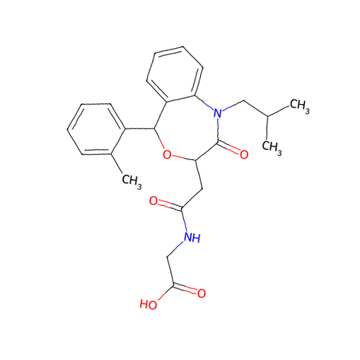 Cc1ccccc1C1OC(CC(=O)NCC(=O)O)C(=O)N(CC(C)C)c2ccccc21